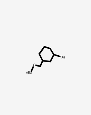 CCCCOCC1CCCC(O)C1